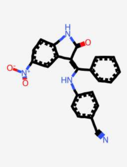 N#Cc1ccc(NC(=C2C(=O)Nc3ccc([N+](=O)[O-])cc32)c2ccccc2)cc1